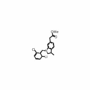 COC(=O)Cc1ccc2c(c1)N(CC1C(Cl)=CC=CC1Cl)CC2C